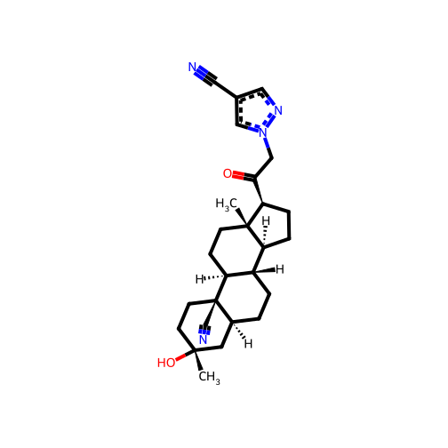 C[C@@]1(O)CC[C@@]2(C#N)[C@@H](CC[C@H]3[C@@H]4CC[C@H](C(=O)Cn5cc(C#N)cn5)[C@@]4(C)CC[C@@H]32)C1